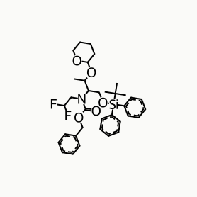 CC(OC1CCCCO1)C(CO[Si](c1ccccc1)(c1ccccc1)C(C)(C)C)N(CC(F)F)C(=O)OCc1ccccc1